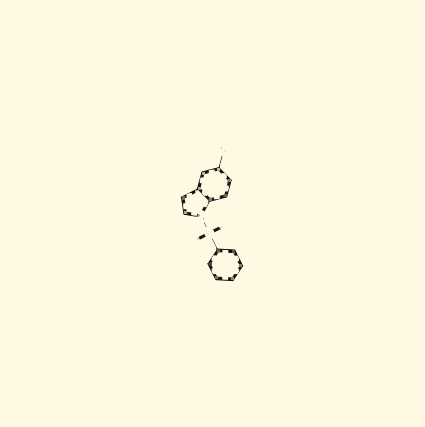 Nc1ccc2c(ccn2S(=O)(=O)c2ccccc2)c1